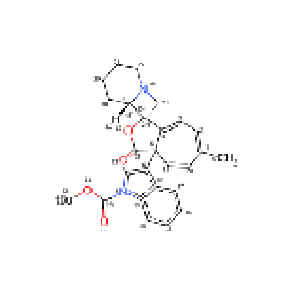 CC1=CC=C2C(c3cn(C(=O)OC(C)(C)C)c4ccccc34)(C=C1)C(=O)O[C@]21CN2CCCC[C@H]21